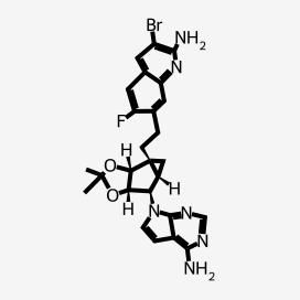 CC1(C)O[C@H]2[C@H](n3ccc4c(N)ncnc43)[C@H]3C[C@@]3(CCc3cc4nc(N)c(Br)cc4cc3F)[C@H]2O1